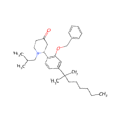 CCCCCCC(C)(C)c1ccc(C2CC(=O)CCN2CC(C)C)c(OCc2ccccc2)c1